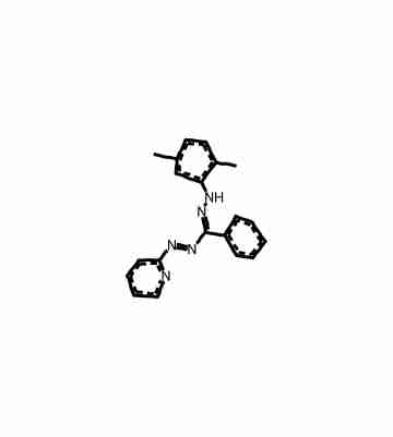 Cc1ccc(C)c(N/N=C(/N=N/c2ccccn2)c2ccccc2)c1